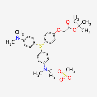 CN(C)c1ccc([S+](c2ccc(OCC(=O)OC(C)(C)C)cc2)c2ccc(N(C)C)cc2)cc1.CS(=O)(=O)[O-]